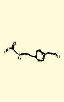 O=C(O)NCCc1ccc(CCl)cc1